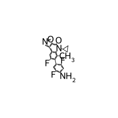 Cc1c(-c2cc(F)c(N)cc2F)c(F)cc2c3cnoc3c(=O)n(C3CC3)c12